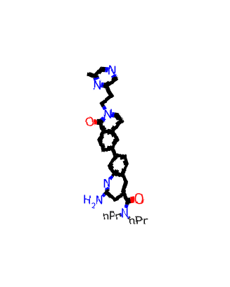 CCCN(CCC)C(=O)C1=Cc2ccc(-c3ccc4c(=O)n(CCc5cncc(C)n5)ccc4c3)cc2N=C(N)C1